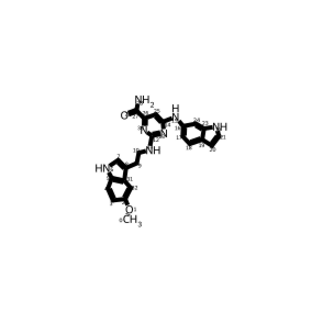 COc1ccc2[nH]cc(CCNc3nc(Nc4ccc5cc[nH]c5c4)cc(C(N)=O)n3)c2c1